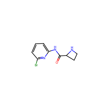 O=C(Nc1cccc(Br)n1)C1CCN1